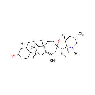 CC1=C2C[C@H]3C(CC[C@@H]4CC(=O)CC[C@@]43C)[C@@H]2CCC2(C1)O[C@@H]1C[C@H](C)CN(C)[C@H]1[C@H]2C